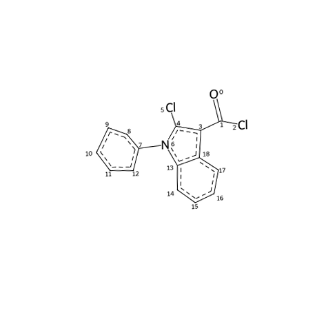 O=C(Cl)c1c(Cl)n(-c2ccccc2)c2ccccc12